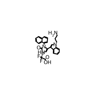 NCCCn1cc(-c2c[nH]c(=O)n2-c2cccc3ccccc23)c2ccccc21.O=C(O)C(F)(F)F